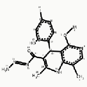 CCOc1ncc(C)c2c1[C@H](c1ccc(I)cc1O)C(C(=O)N=NN)=C(C)N2